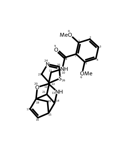 COc1cccc(OC)c1C(=O)NCC1NC2C3C=CC(C3)(O1)C2C1CN=CS1